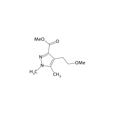 COCCc1c(C(=O)OC)nn(C)c1C